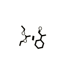 C=C.CC(C=O)C1CCCCC1.CCOC(C)OCC